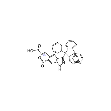 O=C(O)/C=C/c1cc2c(C(c3ccccc3)(c3ccccc3)c3ccccc3-c3ccncc3)n[nH]c2cc1[N+](=O)[O-]